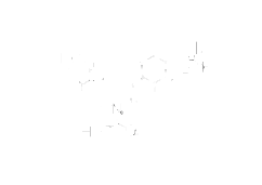 COC(=O)C1CC(c2ccc(CC(F)(F)F)cc2)CN(C(C)=O)C1